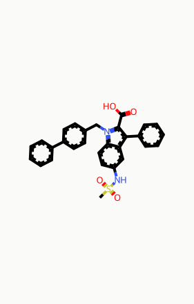 CS(=O)(=O)Nc1ccc2c(c1)c(-c1ccccc1)c(C(=O)O)n2Cc1ccc(-c2ccccc2)cc1